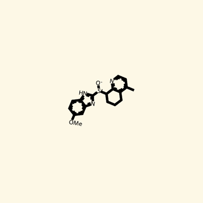 COc1ccc2[nH]c([S+]([O-])C3CCCc4c(C)ccnc43)nc2c1